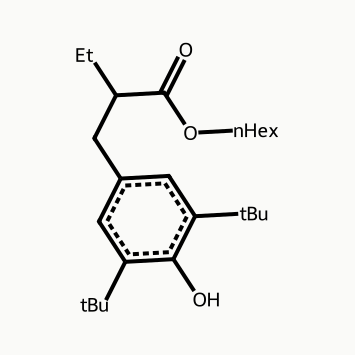 CCCCCCOC(=O)C(CC)Cc1cc(C(C)(C)C)c(O)c(C(C)(C)C)c1